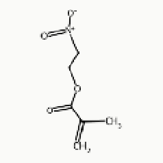 C=C(C)C(=O)OCC[N+](=O)[O-]